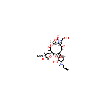 C#CCCN(C)[C@H]1C[C@@H](C)O[C@@H](O[C@@H]2[C@@H](C)[C@H](C3C[C@@](C)(OC)[C@@H](O)[C@H](C)O3)[C@@H](C)C(=O)O[C@H](CC)[C@@]3(C)OC(=O)N(CCO)[C@@H]3[C@@H](C)C(=O)[C@H](C)C[C@@]2(C)OC)[C@@H]1O